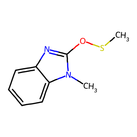 CSOc1nc2ccccc2n1C